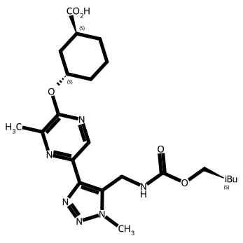 CC[C@H](C)COC(=O)NCc1c(-c2cnc(O[C@H]3CCC[C@H](C(=O)O)C3)c(C)n2)nnn1C